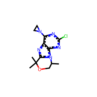 CC1COC(C)(C)c2nc3c(N4CC4)nc(Cl)nc3n21